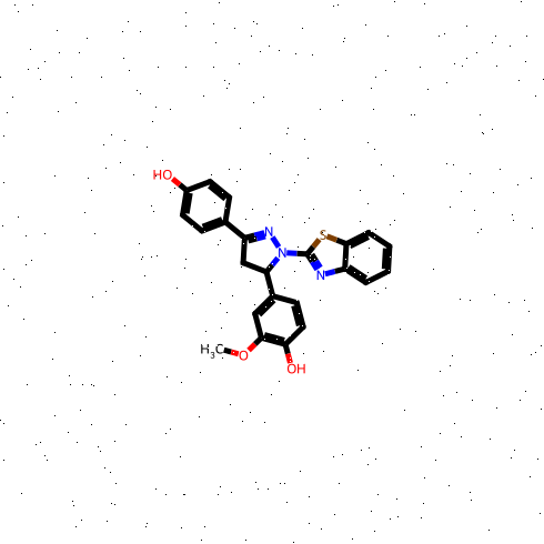 COc1cc(C2CC(c3ccc(O)cc3)=NN2c2nc3ccccc3s2)ccc1O